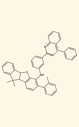 C/C(=C1/C=CC=C/C1=N/C(=N)c1cccc(Nc2c(-c3ccccc3C)ccc3c2SC2c4ccccc4C(C)(C)C32)c1)c1ccccc1